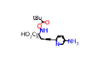 CC(C)(C)C(=O)ON[C@@H](CC#Cc1ccc(N)cn1)C(=O)O